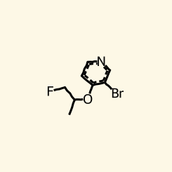 CC(CF)Oc1ccncc1Br